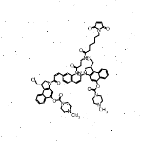 CN1CCN(C(=O)Oc2cc3c(c4ccccc24)[C@H](CCl)CN3C(=O)/C=C\c2ccc(/C=C\C(=O)N3C[C@@H](CCl)c4c3cc(OC(=O)N3CCN(C)CC3)c3ccccc43)c(NC(=O)CCNC(=O)CCCCCN3C(=O)C=CC3=O)c2)CC1